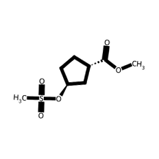 COC(=O)[C@H]1CC[C@H](OS(C)(=O)=O)C1